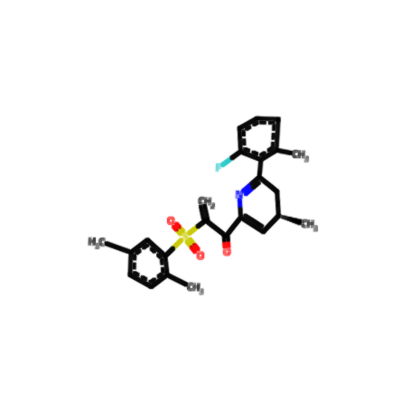 C=C(C(=O)C1=C[C@H](C)CC(c2c(C)cccc2F)=N1)S(=O)(=O)c1cc(C)ccc1C